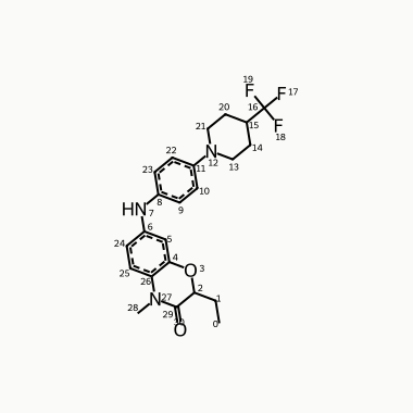 CCC1Oc2cc(Nc3ccc(N4CCC(C(F)(F)F)CC4)cc3)ccc2N(C)C1=O